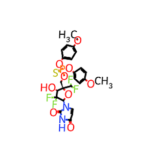 COc1ccc(OP(=S)(OC[C@@]2(C(F)F)O[C@@H](n3ccc(=O)[nH]c3=O)C(F)(F)[C@H]2O)Oc2ccc(OC)cc2)cc1